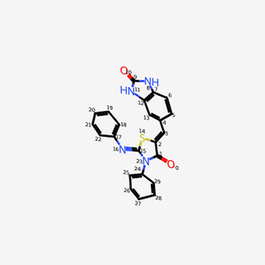 O=C1C(=Cc2ccc3[nH]c(=O)[nH]c3c2)S/C(=N\c2ccccc2)N1c1ccccc1